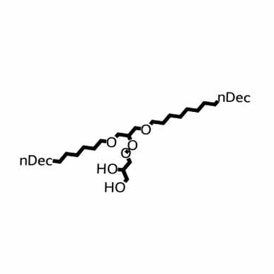 CCCCCCCCCCCCCCCCCCOCC(COCCCCCCCCCCCCCCCC)OOCC(O)CO